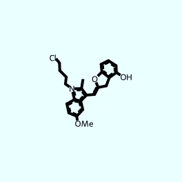 COc1ccc2c(c1)c(C=C1Cc3c(O)cccc3O1)c(C)n2CCCCCl